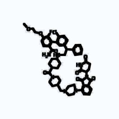 COCCOc1ccc(C(N)=O)c(-c2cc(C(CNC3CCC(C(=O)N4CCC(CN5CCN(c6cccc7c6C(=O)N(C6CCC(=O)NC6=O)C7=O)CC5)CC4)CC3)c3ccccc3)ccc2Cl)c1F